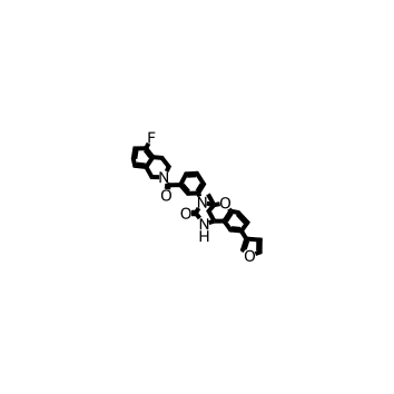 CC12CC(NC(=O)N1c1cccc(C(=O)N3CCc4c(F)cccc4C3)c1)c1cc(-c3ccoc3)ccc1O2